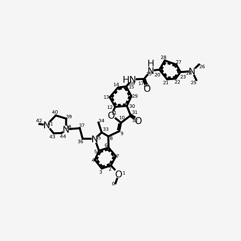 COc1ccc2c(c1)C(/C=C1\Oc3ccc(NC(=O)Nc4ccc(N(C)C)cc4)cc3C1=O)C(C)N2CCN1CCN(C)CC1